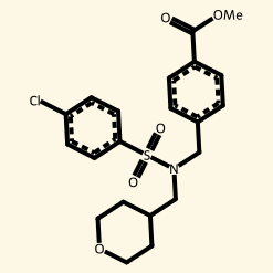 COC(=O)c1ccc(CN(CC2CCOCC2)S(=O)(=O)c2ccc(Cl)cc2)cc1